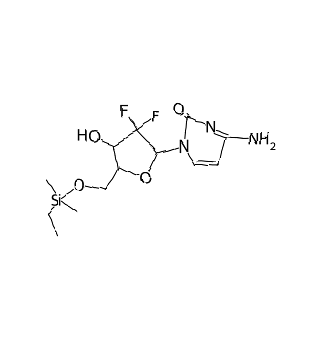 CC[Si](C)(C)OCC1OC(n2ccc(N)nc2=O)C(F)(F)C1O